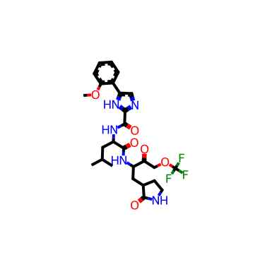 COc1ccccc1-c1cnc(C(=O)NC(CC(C)C)C(=O)NC(CC2CCNC2=O)C(=O)COC(F)(F)F)[nH]1